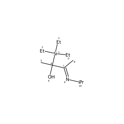 CC[Si](CC)(CC)C(C)(O)C(C)=NC(C)C